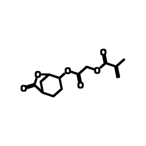 C=C(C)C(=O)OCC(=O)OC1CCC2CC1OC2=O